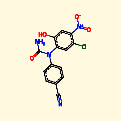 N#Cc1ccc(N(C(N)=O)c2cc(Cl)c([N+](=O)[O-])cc2O)cc1